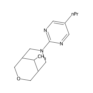 CCCc1cnc(N2CC3COCC(C2)C3C)nc1